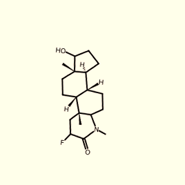 CN1C(=O)C(F)C[C@@]2(C)C1CC[C@@H]1[C@H]2CC[C@]2(C)C(O)CC[C@@H]12